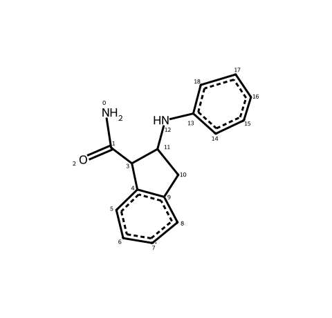 NC(=O)C1c2cc[c]cc2CC1Nc1ccccc1